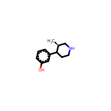 C[C@H]1CNCCC1c1cccc(O)c1